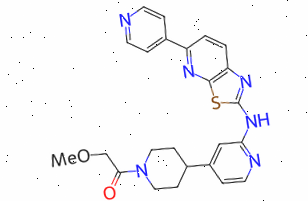 COCC(=O)N1CCC(c2ccnc(Nc3nc4ccc(-c5ccncc5)nc4s3)c2)CC1